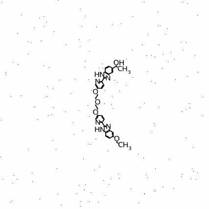 CCOc1ccc2[nH]c(-c3ccc(OCCOCCOc4ccc(-c5nc6cc(C(C)O)ccc6[nH]5)nc4)cn3)nc2c1